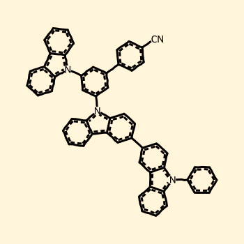 N#Cc1ccc(-c2cc(-n3c4ccccc4c4ccccc43)cc(-n3c4ccccc4c4cc(-c5ccc6c(c5)c5ccccc5n6-c5ccccc5)ccc43)c2)cc1